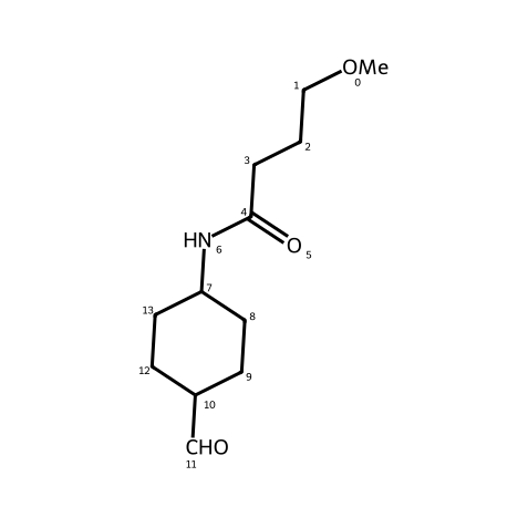 COCCCC(=O)NC1CCC(C=O)CC1